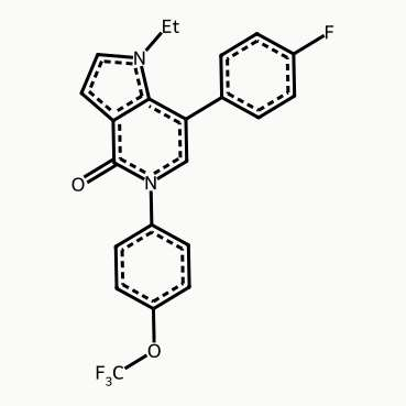 CCn1ccc2c(=O)n(-c3ccc(OC(F)(F)F)cc3)cc(-c3ccc(F)cc3)c21